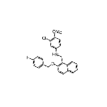 COc1ccc(NCc2c(OCc3ccc(F)cc3)ccc3ccccc23)cc1Cl